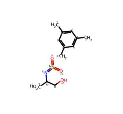 Cc1cc(C)cc(C)c1.O=C(O)C(CO)N=S(=O)=O